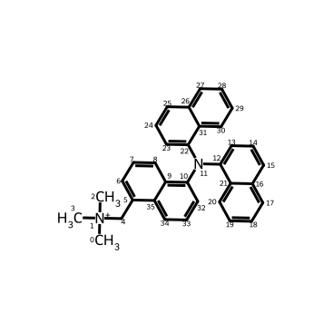 C[N+](C)(C)Cc1cccc2c(N(c3cccc4ccccc34)c3cccc4ccccc34)cccc12